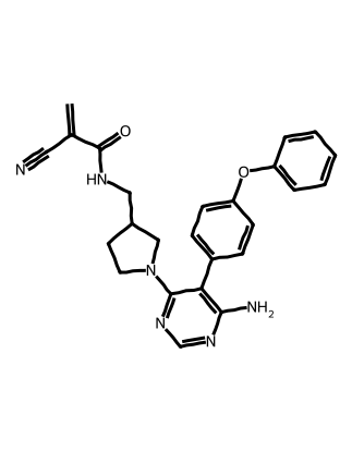 C=C(C#N)C(=O)NCC1CCN(c2ncnc(N)c2-c2ccc(Oc3ccccc3)cc2)C1